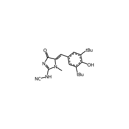 CN1C(NC#N)=NC(=O)/C1=C/c1cc(C(C)(C)C)c(O)c(C(C)(C)C)c1